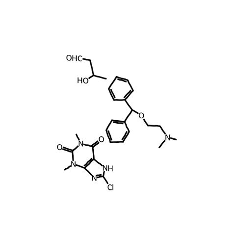 CC(O)CC=O.CN(C)CCOC(c1ccccc1)c1ccccc1.Cn1c(=O)c2[nH]c(Cl)nc2n(C)c1=O